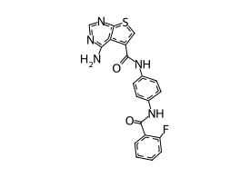 Nc1ncnc2scc(C(=O)Nc3ccc(NC(=O)c4ccccc4F)cc3)c12